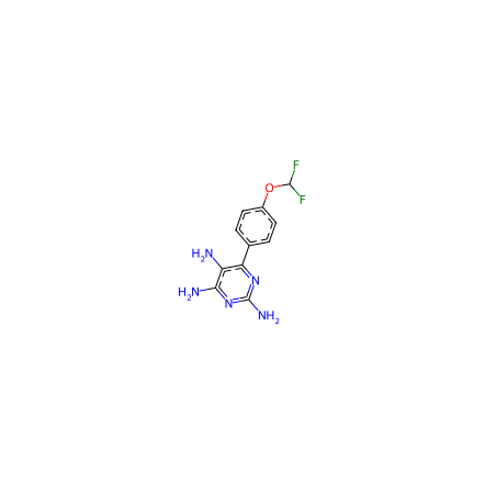 Nc1nc(N)c(N)c(-c2ccc(OC(F)F)cc2)n1